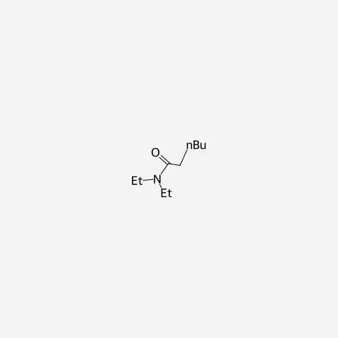 [CH2]CCCCC(=O)N(CC)CC